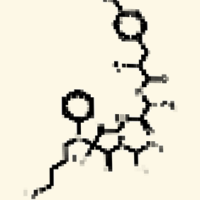 CCCCCN(c1ccccc1)C(C)(C(=O)CNC(=O)[C@@H](C)NC(=O)[C@@H](N)Cc1ccc(O)cc1)C(=O)NC(C)C